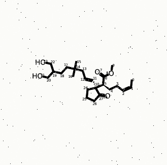 C/C=C\CC[C@H](C(=O)OC)[C@]1(/C=C/CC(C)(C)CCC(CO)CO)CCCC1=O